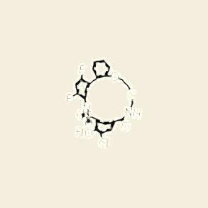 O=C1NCCCCOc2ccccc2-c2cc(c(F)cc2F)NS(=O)(=O)c2cc1cc(Cl)c2O